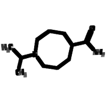 CC(C)N1CCCC(C(N)=O)CCC1